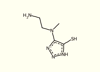 CN(CCN)c1nn[nH]c1S